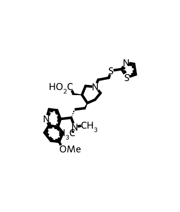 COc1ccc2nccc([C@H](CC[C@@H]3CCN(CCSc4nccs4)C[C@@H]3CC(=O)O)N(C)C)c2c1